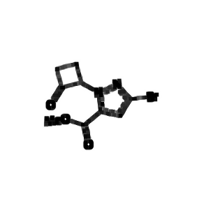 COC(=O)c1cc(Br)nn1C1CCC1=O